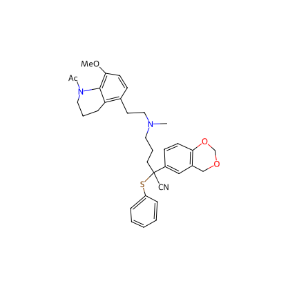 COc1ccc(CCN(C)CCCC(C#N)(Sc2ccccc2)c2ccc3c(c2)COCO3)c2c1N(C(C)=O)CCC2